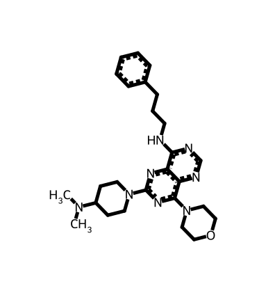 CN(C)C1CCN(c2nc(N3CCOCC3)c3ncnc(NCCCc4ccccc4)c3n2)CC1